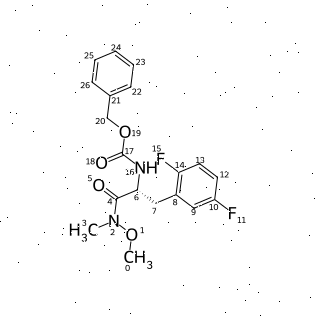 CON(C)C(=O)[C@@H](Cc1cc(F)ccc1F)NC(=O)OCc1ccccc1